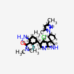 Cc1cc(C)n([C@H]2CC[C@@]3(CNc4ncc(-c5ccc(N)c(C(=O)N(C)C)c5F)c(Cl)c43)C2)n1